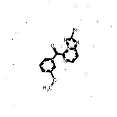 COc1cccc(C(=O)c2nccc3nc(Br)nn23)c1